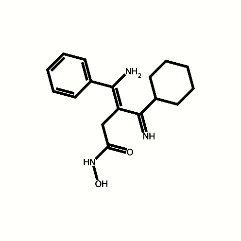 N=C(/C(CC(=O)NO)=C(\N)c1ccccc1)C1CCCCC1